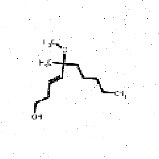 CCCCCC(C)(C=CCCO)OC